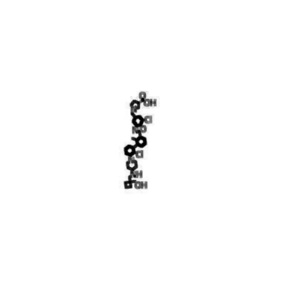 Cc1c(-c2nc3cc(CN4CC[C@@H](C(=O)O)C4)cc(Cl)c3o2)cccc1-c1cccc(N2CCC(NCC3(CO)CCC3)CC2)c1Cl